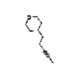 CC#C[CH]CC1CCOCC1